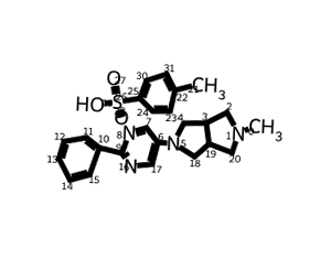 CN1CC2CN(c3cnc(-c4ccccc4)nc3)CC2C1.Cc1ccc(S(=O)(=O)O)cc1